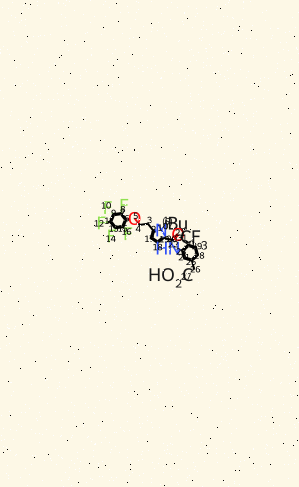 CC[C@H](C)n1c(CCOc2c(F)c(F)c(F)c(F)c2F)ccc1C(=O)Nc1cc(CC(=O)O)ccc1C(F)(F)F